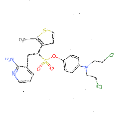 Nc1ncccc1CC(c1ccsc1[N+](=O)[O-])S(=O)(=O)Oc1ccc(N(CCCl)CCCl)cc1